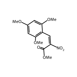 COC(=O)/C(=C\c1c(OC)cc(OC)cc1OC)[N+](=O)[O-]